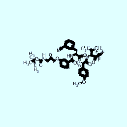 COc1ccc([C@H](NC(=O)[C@H](Cc2cccc(C#N)c2)NC(=O)c2cccc(OCC(=O)CNC(=O)OC(C)(C)C)c2)C(=O)N[C@H](C(=O)C(F)(F)F)C(C)C)cc1